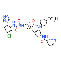 CC(C)(CNC(=O)C(=O)Nc1cc(Cl)ccc1-n1cnnn1)[C@H](Cc1ccc(NC(=O)c2cccnc2)cc1)C(=O)Nc1ccc(C(=O)O)cc1